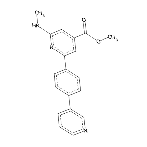 CNc1cc(C(=O)OC)cc(-c2ccc(-c3cccnc3)cc2)n1